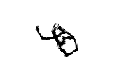 [CH2]CC12OC1C1CCC2C1